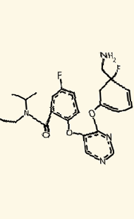 CCN(C(=O)c1cc(F)ccc1Oc1cncnc1OC1=CC=CC(F)(CN)C1)C(C)C